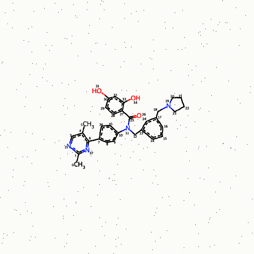 Cc1ncc(C)c(-c2ccc(N(Cc3cccc(CN4CCCC4)c3)C(=O)c3ccc(O)cc3O)cc2)n1